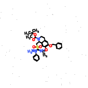 COc1cc2c(cc1OCc1ccccc1)CCN(C(=O)OC(C)(C)C)C2CS(=O)(=O)C(=N)N(N)c1ccccc1